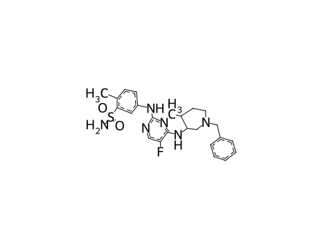 Cc1ccc(Nc2ncc(F)c(NC3CN(Cc4ccccc4)CCC3C)n2)cc1S(N)(=O)=O